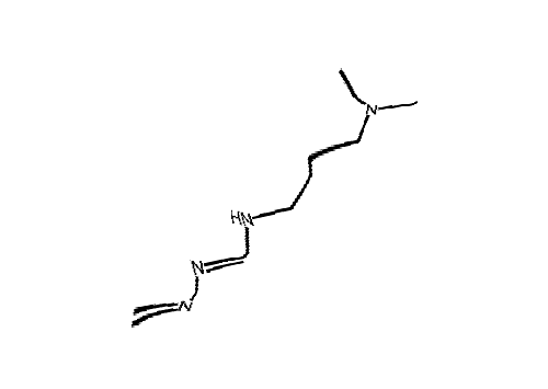 C=N/N=C/NCCCN(C)C